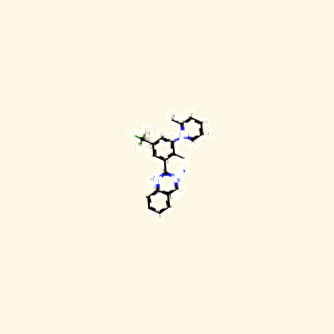 Cc1c(-c2nc3ccccc3c[n+]2C)cc(C(F)(F)F)cc1-[n+]1ccccc1C